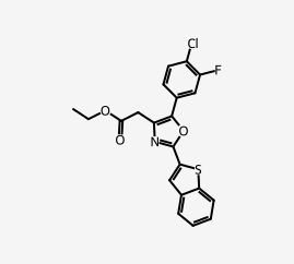 CCOC(=O)Cc1nc(-c2cc3ccccc3s2)oc1-c1ccc(Cl)c(F)c1